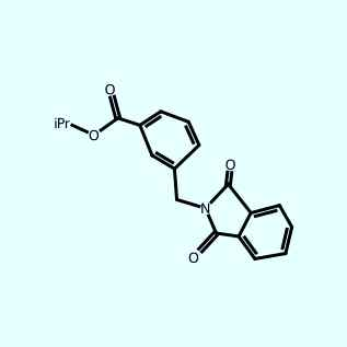 CC(C)OC(=O)c1cccc(CN2C(=O)c3ccccc3C2=O)c1